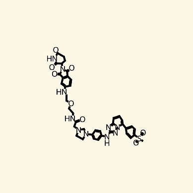 CS(=O)(=O)c1ccc(-c2cccc3nc(Nc4ccc(N5CCN(CC(=O)NCCOCCNc6ccc7c(c6)C(=O)N(C6CCC(=O)NC6=O)C7=O)C5)cc4)nn23)cc1